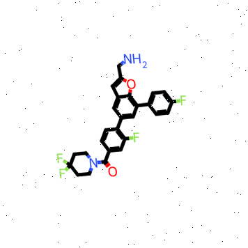 NCc1cc2cc(-c3ccc(C(=O)N4CCC(F)(F)CC4)cc3F)cc(-c3ccc(F)cc3)c2o1